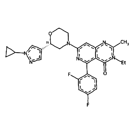 CCn1c(C)nc2cc(N3CCO[C@@H](c4cnn(C5CC5)c4)C3)nc(-c3ccc(F)cc3F)c2c1=O